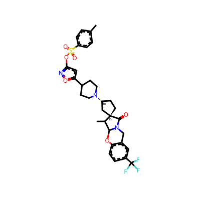 Cc1ccc(S(=O)(=O)Oc2cc(C3CCN([C@@H]4CC[C@@]5(C4)C(=O)N4Cc6cc(C(F)(F)F)ccc6OC4C5C)CC3)on2)cc1